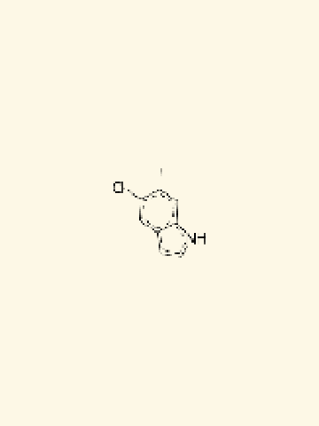 Cc1cc2[nH]ccc2cc1Cl